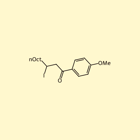 CCCCCCCCC(I)CC(=O)c1ccc(OC)cc1